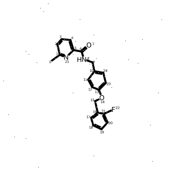 Cc1cccc(C(=O)NCc2ccc(OCc3ccccc3F)cc2)n1